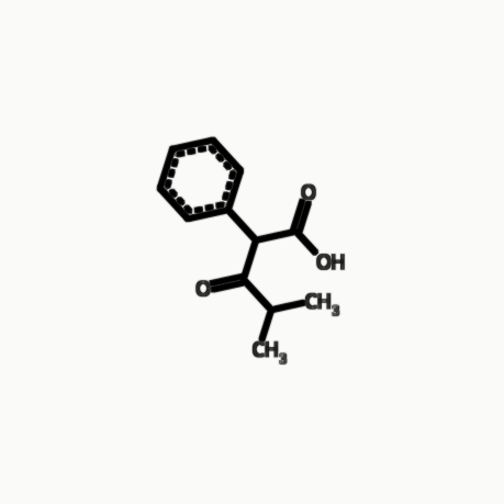 CC(C)C(=O)C(C(=O)O)c1ccccc1